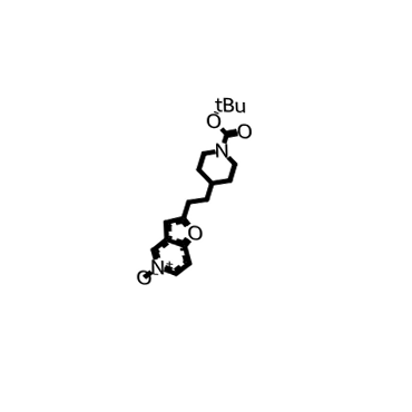 CC(C)(C)OC(=O)N1CCC(CCc2cc3c[n+]([O-])ccc3o2)CC1